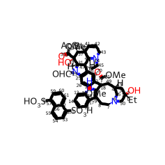 CC[C@]1(O)C[C@H]2C[N@](CCc3c([nH]c4ccccc34)[C@@](C(=O)OC)(c3cc4c(cc3OC)N(C=O)[C@H]3[C@@](O)(C(=O)OC)[C@H](OC(C)=O)[C@]5(CC)C=CCN6CC[C@]43[C@@H]65)C2)C1.O=S(=O)(O)c1cccc2c(S(=O)(=O)O)cccc12